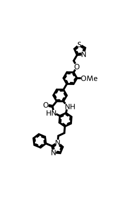 COc1cc(-c2ccc3c(c2)Nc2ccc(CCn4ccnc4-c4ccccc4)cc2NC3=O)ccc1OCc1cscn1